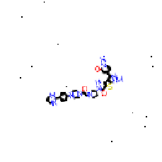 O=C(NC1CCN(CC(=O)N2CCN(c3ccc(-c4ncccn4)cc3)CC2)C1)c1cc2c(-c3cc[nH]c(=O)c3)n[nH]c2s1